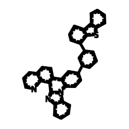 c1cc(-c2ccc3c(c2)c2ccc4cccnc4c2c2nc4ccccc4n32)cc(-c2cccc3c2sc2ccccc23)c1